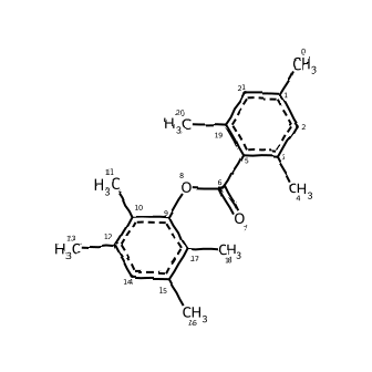 Cc1cc(C)c(C(=O)Oc2c(C)c(C)cc(C)c2C)c(C)c1